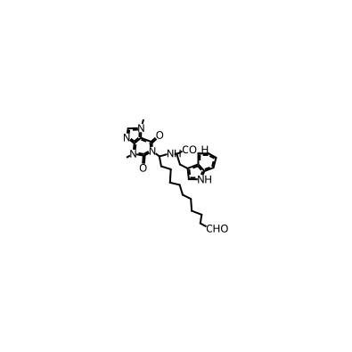 Cn1cnc2c1c(=O)n(C(CCCCCCCCCC=O)NC(Cc1c[nH]c3ccccc13)C(=O)O)c(=O)n2C